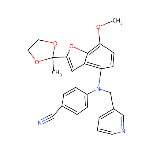 COc1ccc(N(Cc2cccnc2)c2ccc(C#N)cc2)c2cc(C3(C)OCCO3)oc12